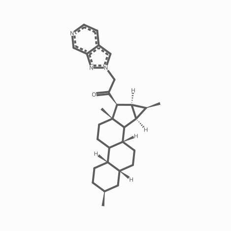 C[C@H]1CC[C@@H]2C3CC[C@@]4(C)C([C@@H]3CC[C@@H]2C1)[C@@H]1[C@H](C)[C@@H]1[C@@H]4C(=O)Cn1cc2ccncc2n1